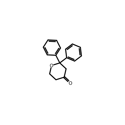 O=C1CCOC(c2ccccc2)(c2ccccc2)C1